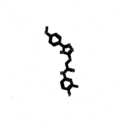 COc1ccc(-c2nnc(SCC(=O)Nc3ccc(F)c(C)c3)[nH]2)cc1